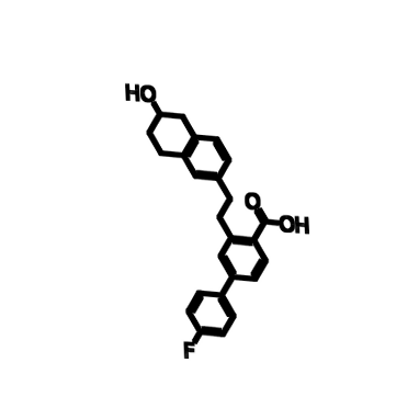 O=C(O)c1ccc(-c2ccc(F)cc2)cc1CCc1ccc2c(c1)CCC(O)C2